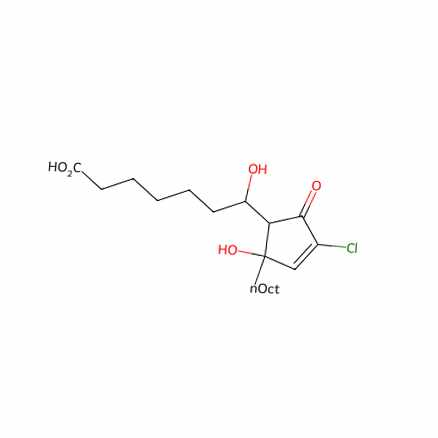 CCCCCCCCC1(O)C=C(Cl)C(=O)C1C(O)CCCCCC(=O)O